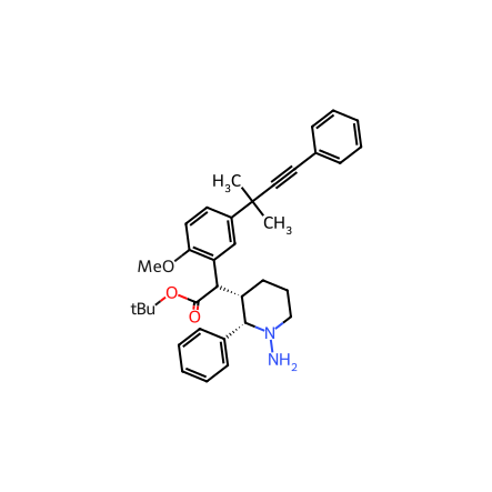 COc1ccc(C(C)(C)C#Cc2ccccc2)cc1C(C(=O)OC(C)(C)C)[C@@H]1CCCN(N)[C@@H]1c1ccccc1